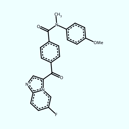 COc1ccc(N(C)C(=O)c2ccc(C(=O)c3cnc4ccc(F)cn34)cc2)cc1